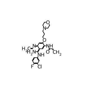 C=C/N=C1/C=C(OCCCN2CCOCC2)C(NC(=O)C=C)=C/C1=C(/N)Nc1ccc(F)c(Cl)c1